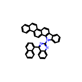 c1ccc2c(-c3nc(-n4c5ccccc5c5ccc6c7ccc8ccccc8c7ccc6c54)nc4ccccc34)cccc2c1